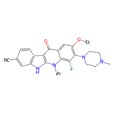 CCOc1cc2c(=O)c3c4ccc(C#N)cc4[nH]c3n(C(C)C)c2c(F)c1N1CCN(C)CC1